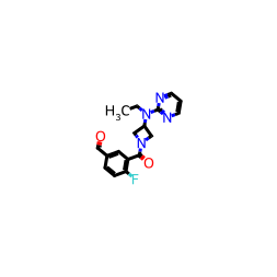 CCN(c1ncccn1)C1CN(C(=O)c2cc(C=O)ccc2F)C1